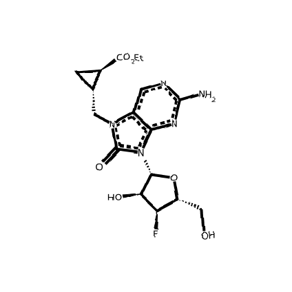 CCOC(=O)[C@@H]1C[C@H]1Cn1c(=O)n([C@@H]2O[C@H](CO)[C@@H](F)[C@H]2O)c2nc(N)ncc21